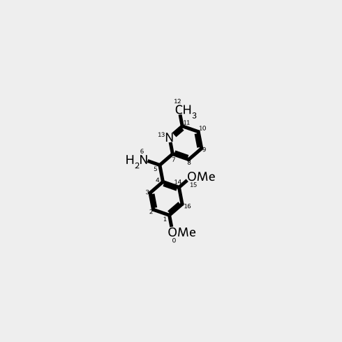 COc1ccc(C(N)c2cccc(C)n2)c(OC)c1